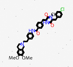 COc1cc2c(cc1OC)CN(CCc1ccc(NC(=O)c3ccc(C=c4[nH]c(=O)c(=Cc5ccc(Cl)cc5)n(C)c4=O)cc3)cc1)CC2